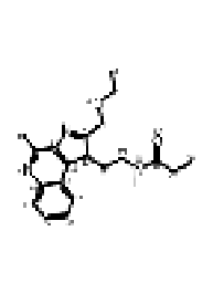 CCOCC1=Nc2c(C)nc3ccccc3c2C1CCNC(=O)CC